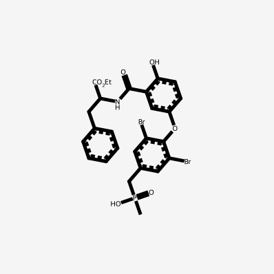 CCOC(=O)C(Cc1ccccc1)NC(=O)c1cc(Oc2c(Br)cc(CP(C)(=O)O)cc2Br)ccc1O